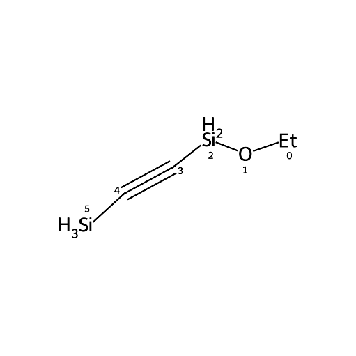 CCO[SiH2]C#C[SiH3]